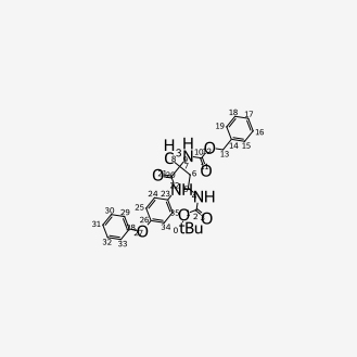 CC(C)(C)OC(=O)NCCC(C)(NC(=O)OCc1ccccc1)C(=O)Nc1ccc(Oc2ccccc2)cc1